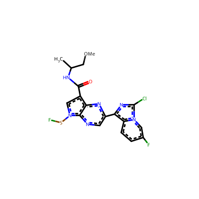 COCC(C)NC(=O)c1cn(SF)c2ncc(-c3nc(Cl)n4cc(F)ccc34)nc12